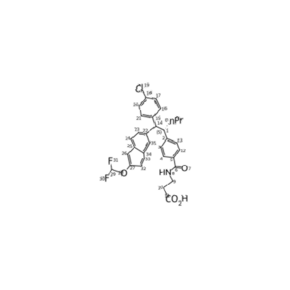 CCC[C@H](c1ccc(C(=O)NCCC(=O)O)cc1)C(c1ccc(Cl)cc1)c1ccc2cc(OC(F)F)ccc2c1